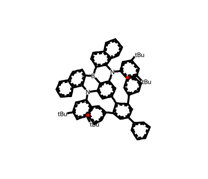 CC(C)(C)c1cc(N2c3cc(-c4c(-c5ccccc5)cc(-c5ccccc5)cc4-c4ccccc4)cc4c3B(c3ccc5ccccc5c32)c2ccc3ccccc3c2N4c2cc(C(C)(C)C)cc(C(C)(C)C)c2)cc(C(C)(C)C)c1